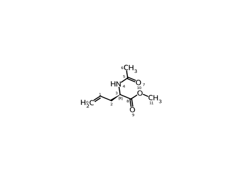 C=CC[C@@H](NC(C)=O)C(=O)OC